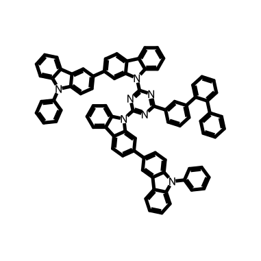 c1ccc(-c2ccccc2-c2cccc(-c3nc(-n4c5ccccc5c5ccc(-c6ccc7c(c6)c6ccccc6n7-c6ccccc6)cc54)nc(-n4c5ccccc5c5ccc(-c6ccc7c(c6)c6ccccc6n7-c6ccccc6)cc54)n3)c2)cc1